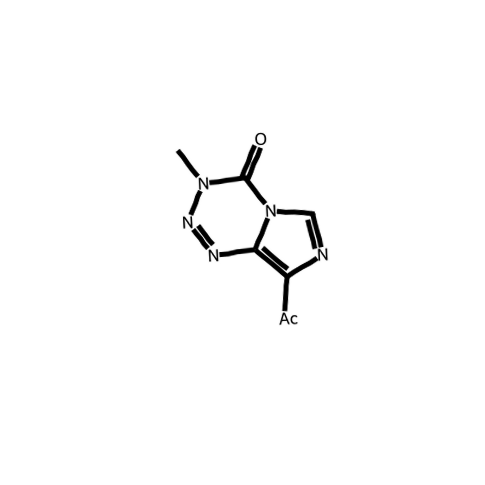 CC(=O)c1ncn2c(=O)n(C)nnc12